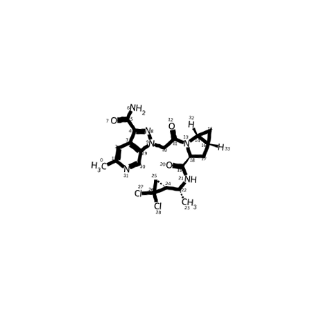 Cc1cc2c(C(N)=O)nn(CC(=O)N3[C@@H]4C[C@@H]4C[C@H]3C(=O)N[C@H](C)[C@H]3CC3(Cl)Cl)c2cn1